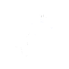 COc1cccc(-c2nc3c(=O)[nH]c(=O)n(C)c3nc2Cl)c1